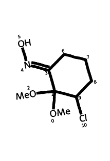 COC1(OC)C(=NO)CCCC1Cl